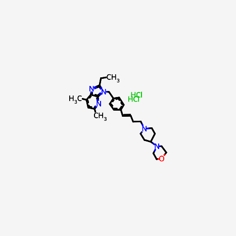 CCc1nc2c(C)cc(C)nc2n1Cc1ccc(/C=C/CCN2CCC(N3CCOCC3)CC2)cc1.Cl.Cl